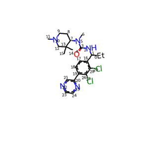 CCC(NC(=O)N(C)[C@@H]1CCN(C)CC1(C)C)c1ccc(-c2cnccn2)c(Cl)c1Cl